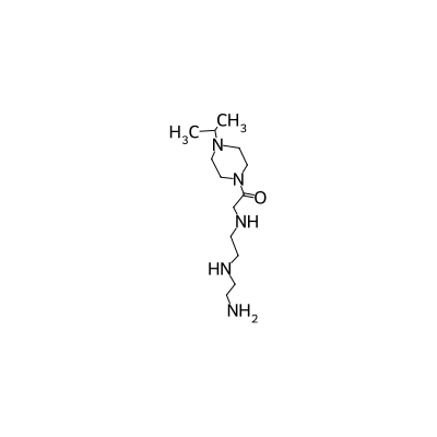 CC(C)N1CCN(C(=O)CNCCNCCN)CC1